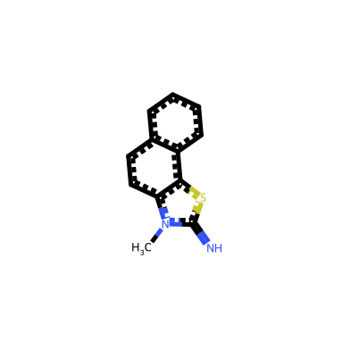 Cn1c(=N)sc2c3ccccc3ccc21